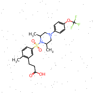 Cc1ccc(S(=O)(=O)N2C(C)CN(c3ccc(OC(F)(F)F)cc3)CC2C)cc1CCC(=O)O